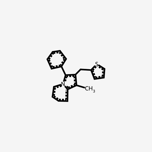 Cc1c(Cc2cccs2)c(-c2ccccc2)n2ccccc12